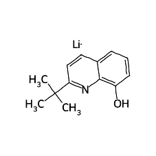 CC(C)(C)c1ccc2cccc(O)c2n1.[Li]